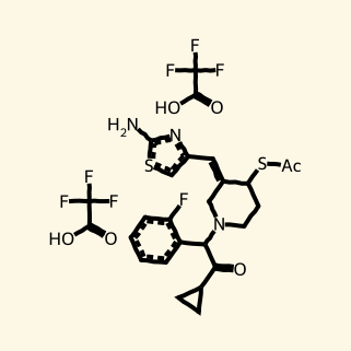 CC(=O)SC1CCN(C(C(=O)C2CC2)c2ccccc2F)C/C1=C\c1csc(N)n1.O=C(O)C(F)(F)F.O=C(O)C(F)(F)F